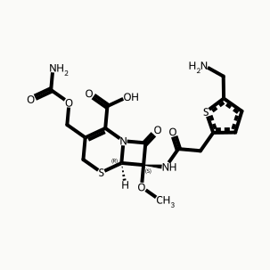 CO[C@@]1(NC(=O)Cc2ccc(CN)s2)C(=O)N2C(C(=O)O)=C(COC(N)=O)CS[C@@H]21